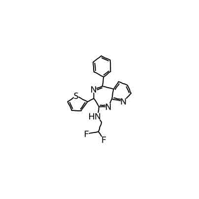 FC(F)CNC1=Nc2ncccc2C(c2ccccc2)=NC1c1cccs1